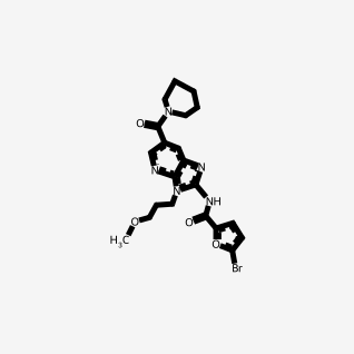 COCCCn1c(NC(=O)c2ccc(Br)o2)nc2cc(C(=O)N3CCCCC3)cnc21